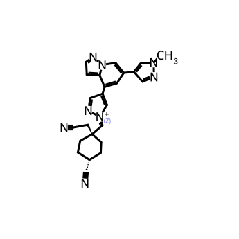 Cn1cc(-c2cc(C3=C/[N+](=C/[C@]4(CC#N)CC[C@H](C#N)CC4)N=C3)c3ccnn3c2)cn1